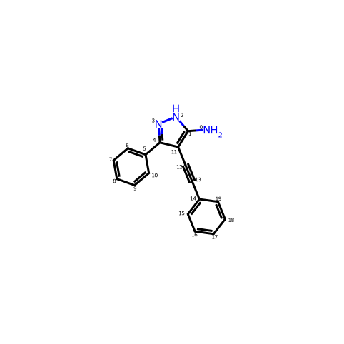 Nc1[nH]nc(-c2ccccc2)c1C#Cc1ccccc1